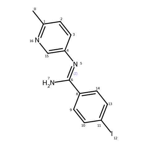 Cc1ccc(/N=C(\N)c2ccc(I)cc2)cn1